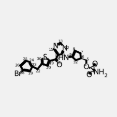 NS(=O)(=O)OC[C@@H]1CC=C(Nc2ncncc2C(=O)c2cc(Cc3cccc(Br)c3)cs2)C1